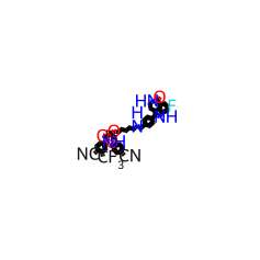 C[C@@](COc1ccc(C#N)cc1)(OCCCCCNCc1ccc(-c2[nH]c3cc(F)cc4c3c2CCNC4=O)cc1)C(=O)Nc1ccc(C#N)c(C(F)(F)F)c1